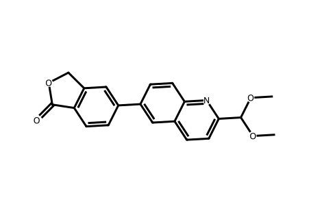 COC(OC)c1ccc2cc(-c3ccc4c(c3)COC4=O)ccc2n1